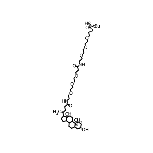 C[C@H](CCC(=O)NCCOCCOCCOCCC(=O)NCCOCCOCCOCCOP(=O)(O)C(C)(C)C)C1CCC2C3CCC4C[C@H](O)CC[C@]4(C)C3CC[C@@]21C